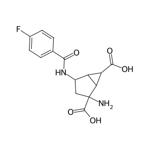 NC1(C(=O)O)CC(NC(=O)c2ccc(F)cc2)C2C(C(=O)O)C21